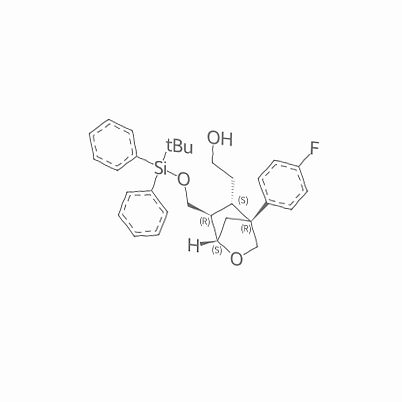 CC(C)(C)[Si](OC[C@@H]1[C@@H]2C[C@@](c3ccc(F)cc3)(CO2)[C@H]1CCO)(c1ccccc1)c1ccccc1